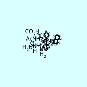 CC(=O)N[C@@H](CCC(=O)O)C(=O)N1CCCC[C@H]1C(=O)N[C@@H](Cc1ccc2ccccc2c1)C(=O)N[C@@H](CCCNC(N)=O)C(N)=O